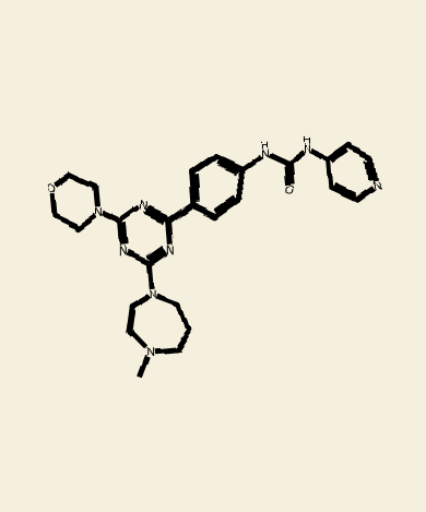 CN1CCCN(c2nc(-c3ccc(NC(=O)Nc4ccncc4)cc3)nc(N3CCOCC3)n2)CC1